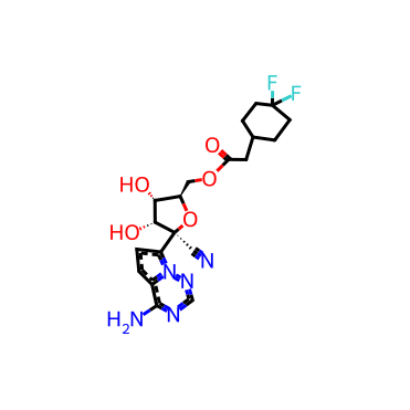 N#C[C@@]1(c2ccc3c(N)ncnn23)O[C@H](COC(=O)CC2CCC(F)(F)CC2)[C@@H](O)[C@H]1O